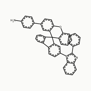 Nc1ccc(-c2ccc3c(c2)C2(c4ccccc4O3)c3ccccc3-c3ccc(-n4c(-c5ccccc5)nc5ccccc54)cc32)cc1